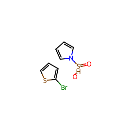 Brc1cccs1.O=[SH](=O)n1cccc1